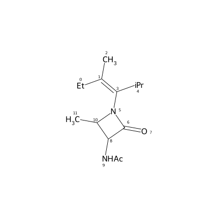 CC/C(C)=C(/C(C)C)N1C(=O)C(NC(C)=O)C1C